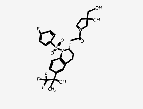 CC(O)(c1ccc2c(c1)CC[C@@H](CC(=O)N1CCC(O)(CO)C1)N2S(=O)(=O)c1ccc(F)cc1)C(F)(F)F